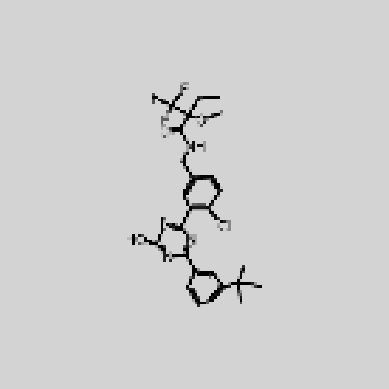 CCC(OC)(C(=O)NCc1ccc(Cl)c(-c2nc(O)nc(-c3cccc(C(C)(C)C)c3)n2)c1)C(F)(F)F